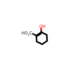 O=C(O)C1=C(O)CCCC1